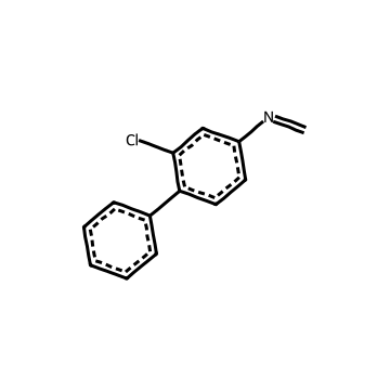 C=Nc1ccc(-c2ccccc2)c(Cl)c1